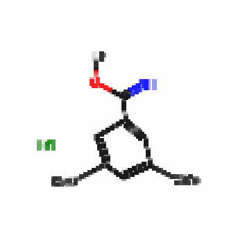 CCOC(=N)c1cc(OC)cc(OC)c1.Cl